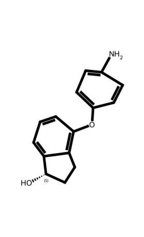 Nc1ccc(Oc2cccc3c2CC[C@@H]3O)cc1